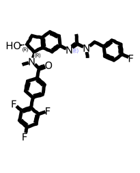 C/C(=N\c1ccc2c(c1)[C@@H](N(C)C(=O)c1ccc(-c3c(F)cc(F)cc3F)cc1)[C@H](O)C2)N(C)Cc1ccc(F)cc1